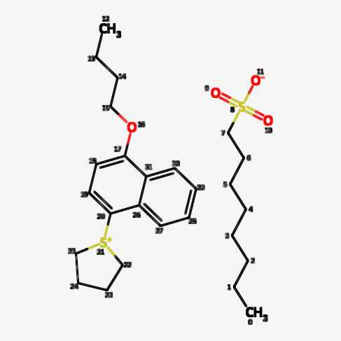 CCCCCCCCS(=O)(=O)[O-].CCCCOc1ccc([S+]2CCCC2)c2ccccc12